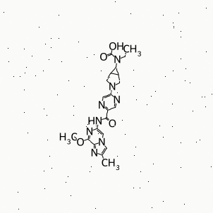 CCN(C(=O)O)C1C2CN(c3cnc(C(=O)Nc4cn5cc(C)nc5c(OC)n4)cn3)CC21